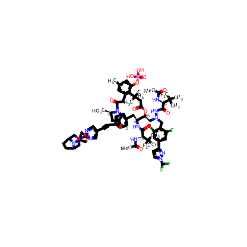 C=C1C[C@@H](C(=O)O)N(C(=O)Cc2cc(C)cc(OP(=O)(O)O)c2C(C)(C)CC(=O)O[C@@H](CN(Cc2c(F)cc(-c3ccn(C(F)F)n3)cc2F)NC(=O)[C@@H](NC(=O)OC)C(C)(C)C(F)(F)F)[C@H](Cc2ccc(C#Cc3cnc(N4CC5CCC(C4)N5C4COC4)nc3)cc2)NC(=O)[C@@H](NC(=O)OC)C(C)(C)C(F)(F)F)C1